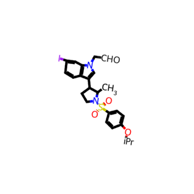 CC(C)Oc1ccc(S(=O)(=O)N2CCC(c3cn(CC=O)c4cc(I)ccc34)C2C)cc1